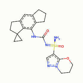 N[S@](=O)(=NC(=O)Nc1c2c(cc3c1C1(CC3)CC1)CCC2)c1cnn2c1OCCC2